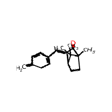 C=C1C=CC(C=C2C(=O)C3(C)CCC2C3(C)C)=CC1